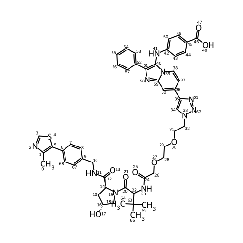 Cc1ncsc1-c1ccc(CNC(=O)[C@@H]2C[C@@H](O)CN2C(=O)C(NC(=O)COCCOCCn2cc(-c3ccn4c(Nc5ccc(C(=O)O)cc5)c(-c5ccccc5)nc4c3)nn2)C(C)(C)C)cc1